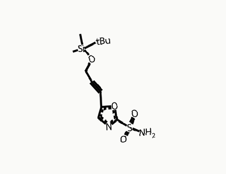 CC(C)(C)[Si](C)(C)OCC#Cc1cnc(S(N)(=O)=O)o1